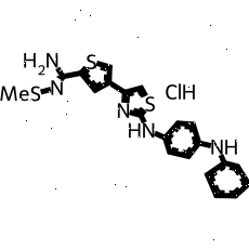 CSN=C(N)c1cc(-c2csc(Nc3ccc(Nc4ccccc4)cc3)n2)cs1.Cl